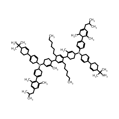 CCCCCCC1=CC(C2CCC(N(C3C=CC(c4c(C)cc(CC(C)C)cc4C)=CC3)C3C=CC(C4C=CC(C(C)(C)N)CC4)=CC3)C=C2C)C(CCCCCC)C=C1C1CCC(N(c2ccc(C3C(C)=CC(CC(C)C)=CC3C)cc2)C2C=CC(C3C=CC(C(C)(C)N)CC3)=CC2)C=C1C